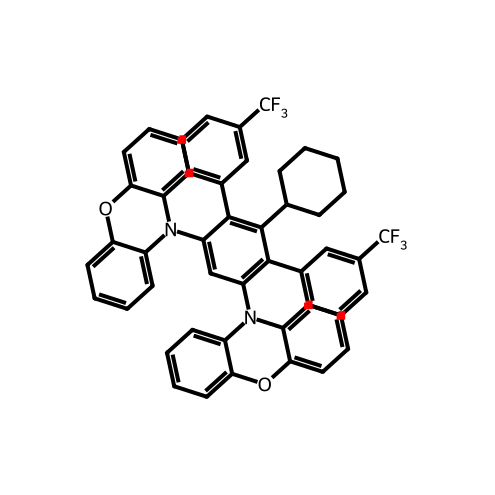 FC(F)(F)c1cccc(-c2c(N3c4ccccc4Oc4ccccc43)cc(N3c4ccccc4Oc4ccccc43)c(-c3cccc(C(F)(F)F)c3)c2C2CCCCC2)c1